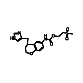 CS(=O)(=O)CCOC(=O)Nc1ccc2c(c1)C(Cc1c[nH]cn1)CCO2